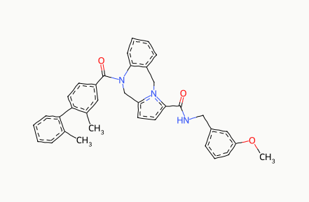 COc1cccc(CNC(=O)c2ccc3n2Cc2ccccc2N(C(=O)c2ccc(-c4ccccc4C)c(C)c2)C3)c1